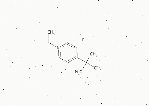 CC[n+]1ccc(C(C)(C)C)cc1.[I-]